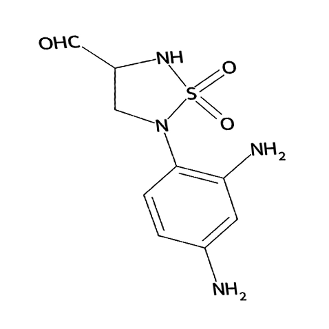 Nc1ccc(N2CC(C=O)NS2(=O)=O)c(N)c1